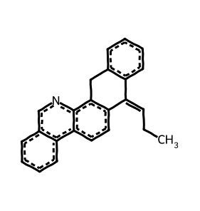 CCC=C1c2ccccc2Cc2c1ccc1c2ncc2ccccc21